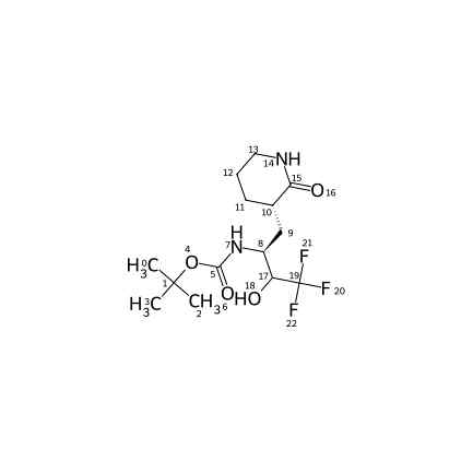 CC(C)(C)OC(=O)N[C@@H](C[C@@H]1CCCNC1=O)C(O)C(F)(F)F